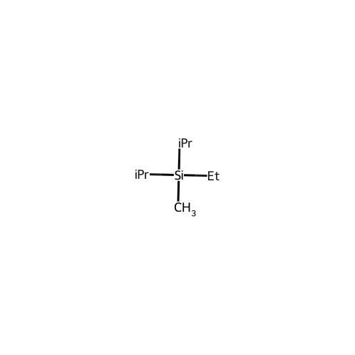 [CH2]C[Si](C)(C(C)C)C(C)C